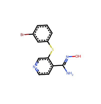 NC(=NO)c1ccncc1Sc1cccc(Br)c1